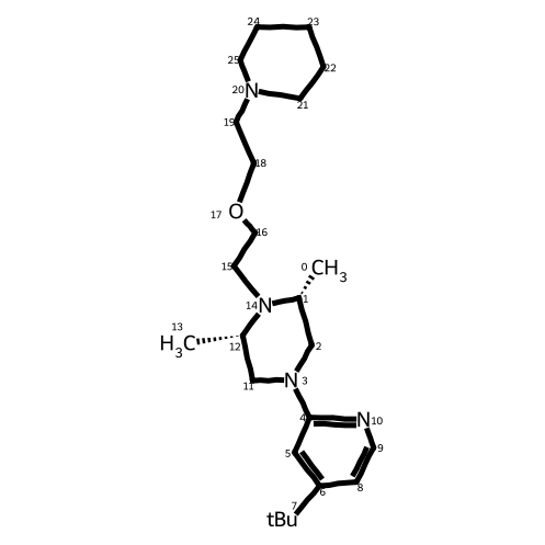 C[C@@H]1CN(c2cc(C(C)(C)C)ccn2)C[C@H](C)N1CCOCCN1CCCCC1